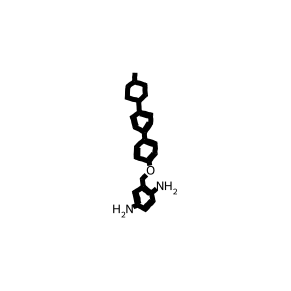 CC1CCC(c2ccc(-c3ccc(OCc4cc(N)ccc4N)cc3)cc2)CC1